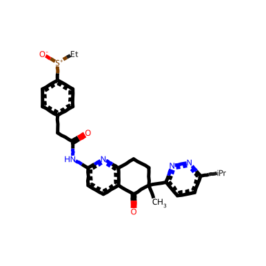 CC[S+]([O-])c1ccc(CC(=O)Nc2ccc3c(n2)CCC(C)(c2ccc(C(C)C)nn2)C3=O)cc1